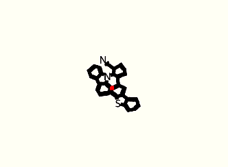 N#CC1C=CC=C(c2ccc3sc4ccccc4c3c2)C1n1c2ccccc2c2ccccc21